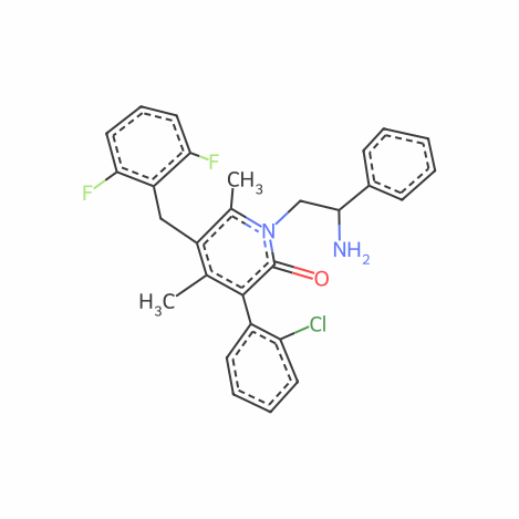 Cc1c(Cc2c(F)cccc2F)c(C)n(CC(N)c2ccccc2)c(=O)c1-c1ccccc1Cl